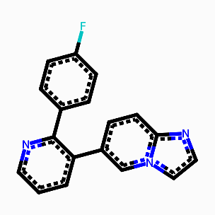 Fc1ccc(-c2ncccc2-c2ccc3nccn3c2)cc1